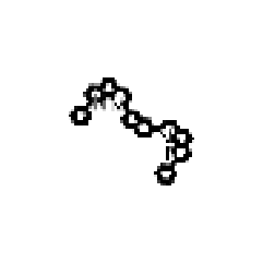 c1ccc(-c2ccc3ccc4ccc(-c5ccc6ccc(-c7ccc8ccc9ccc(-c%10ccccc%10)nc9c8n7)cc6c5)nc4c3n2)cc1